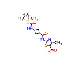 Cc1nc(NC(=O)C2CC(NC(=O)OC(C)(C)C)C2)sc1C(=O)O